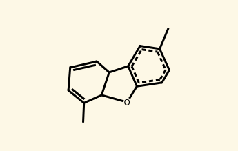 CC1=CC=CC2c3cc(C)ccc3OC12